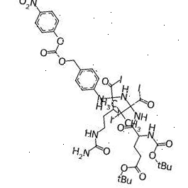 CC(C)(C)OC(=O)CCC(NC(=O)OC(C)(C)C)C(=O)NC(NC(Nc1ccc(COC(=O)Oc2ccc([N+](=O)[O-])cc2)cc1)(C(=O)I)C(I)CCNC(N)=O)(C(=O)I)C(C)(C)I